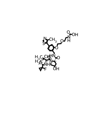 Cc1ncsc1-c1ccc(CNC(=O)[C@@H]2C[C@@H](O)CN2C(=O)[C@@H](NC(=O)C2(F)CC2)C(C)(C)C)c(OCCOCCNC(=O)O)c1